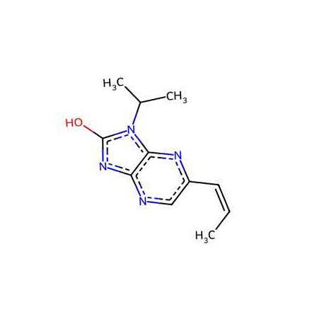 C/C=C\c1cnc2nc(O)n(C(C)C)c2n1